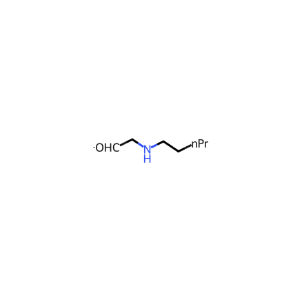 CCCCCNC[C]=O